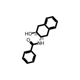 O=C(N[C@H]1Cc2ccccc2C[C@@H]1O)c1ccccc1